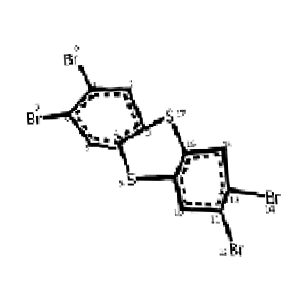 Brc1cc2c(cc1Br)Sc1cc(Br)c(Br)cc1S2